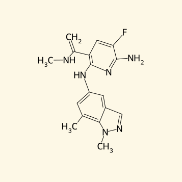 C=C(NC)c1cc(F)c(N)nc1Nc1cc(C)c2c(cnn2C)c1